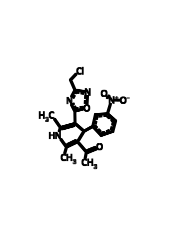 CC(=O)C1=C(C)NC(C)=C(c2nc(CCl)no2)C1c1cccc([N+](=O)[O-])c1